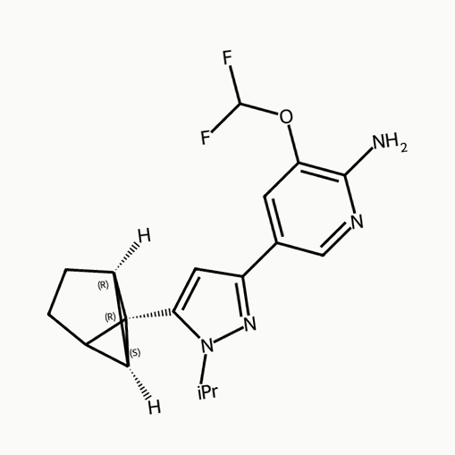 CC(C)n1nc(-c2cnc(N)c(OC(F)F)c2)cc1[C@]12C3CC[C@@H]1[C@H]32